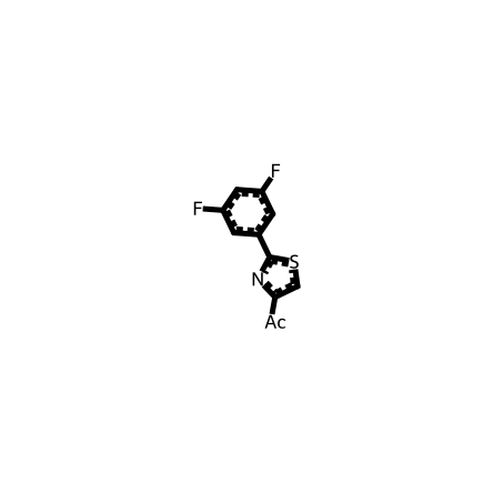 CC(=O)c1csc(-c2cc(F)cc(F)c2)n1